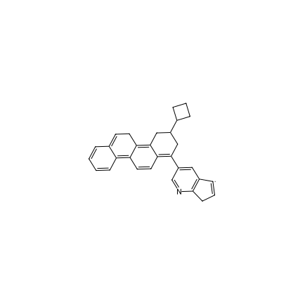 [C]1=CCc2ncc(C3=c4ccc5c(c4CC(C4CCC4)C3)CC=c3ccccc3=5)cc21